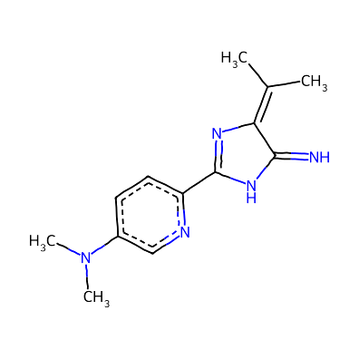 CC(C)=C1N=C(c2ccc(N(C)C)cn2)NC1=N